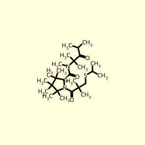 CC(C)SCC(C)(C)C(=O)N1[C@H](C(=O)N(C)C(C)(C)C(=O)C(C)C)C(C)(C)C(C)(C)C1(C)C